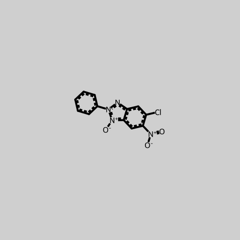 O=[N+]([O-])c1cc2c(cc1Cl)nn(-c1ccccc1)[n+]2[O-]